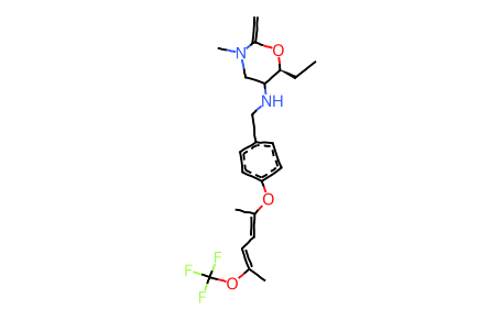 C=C1O[C@@H](CC)C(NCc2ccc(O/C(C)=C/C=C(\C)OC(F)(F)F)cc2)CN1C